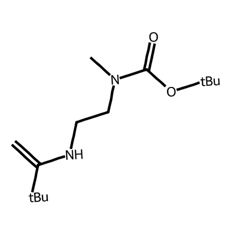 C=C(NCCN(C)C(=O)OC(C)(C)C)C(C)(C)C